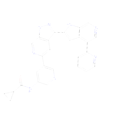 O=C(Nc1cncc(-c2cc3c(-c4cc5c(-c6ccccn6)cncc5[nH]4)n[nH]c3cn2)c1)C1CC1